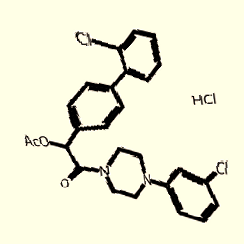 CC(=O)OC(C(=O)N1CCN(c2cccc(Cl)c2)CC1)c1ccc(-c2ccccc2Cl)cc1.Cl